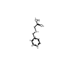 O=C(O)CSCc1ccncc1